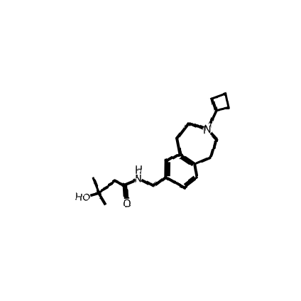 CC(C)(O)CC(=O)NCc1ccc2c(c1)CCN(C1CCC1)CC2